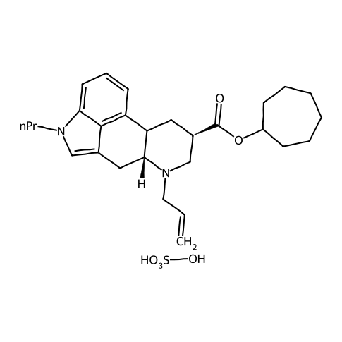 C=CCN1C[C@H](C(=O)OC2CCCCCC2)CC2c3cccc4c3c(cn4CCC)C[C@H]21.O=S(=O)(O)O